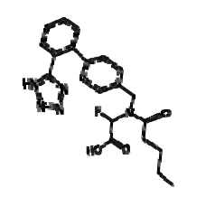 CCCCC(=O)N(Cc1ccc(-c2ccccc2-c2nnn[nH]2)cc1)C(F)C(=O)O